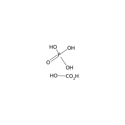 O=C(O)O.O=P(O)(O)O